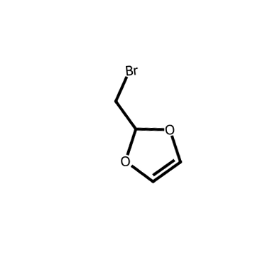 BrCC1OC=CO1